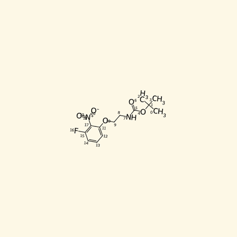 CC(C)(C)OC(=O)NCCOc1cccc(F)c1[N+](=O)[O-]